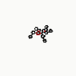 c1ccc(-c2ccc(N(c3ccc(-c4cccc(-c5ccccc5)c4)cc3)c3ccc(-c4ccccc4-n4c5ccccc5c5ccccc54)cc3-c3cc4ccccc4c4ccccc34)cc2)cc1